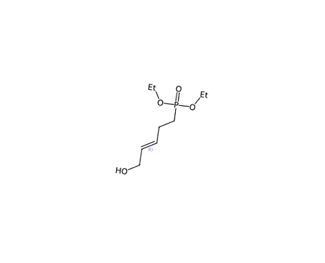 CCOP(=O)(CC/C=C/CO)OCC